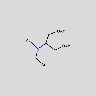 CC(=O)CN(C(C)=O)C(COC(C)=O)COC(C)=O